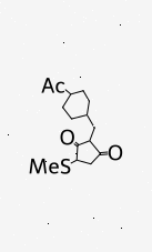 CSC1CC(=O)C(CC2CCC(C(C)=O)CC2)C1=O